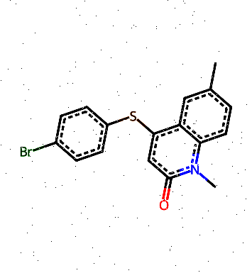 Cc1ccc2c(c1)c(Sc1ccc(Br)cc1)cc(=O)n2C